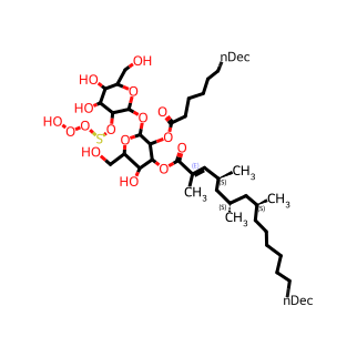 CCCCCCCCCCCCCCCC[C@H](C)C[C@H](C)C[C@H](C)/C=C(\C)C(=O)OC1C(O)C(CO)OC(OC2OC(CO)C(O)C(O)C2OSOOO)C1OC(=O)CCCCCCCCCCCCCCC